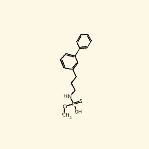 COP(O)(=S)NCCCc1cccc(-c2ccccc2)c1